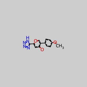 COc1ccc(-c2coc(-c3nnn[nH]3)cc2=O)cc1